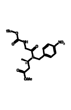 COC(=O)C[C@@H](C)N(Cc1ccc([N+](=O)[O-])cc1)C(=O)CNC(=O)OC(C)(C)C